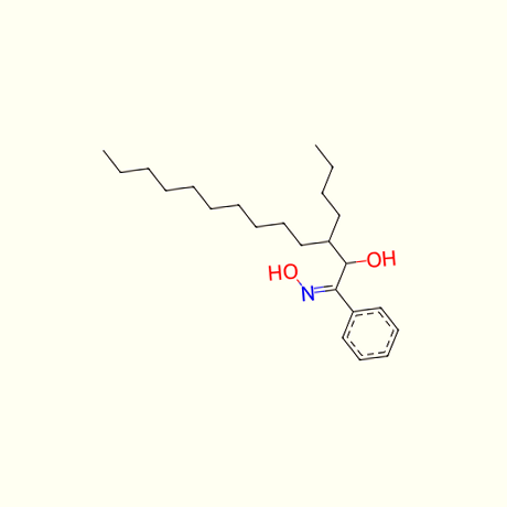 CCCCCCCCCCC(CCCC)C(O)C(=NO)c1ccccc1